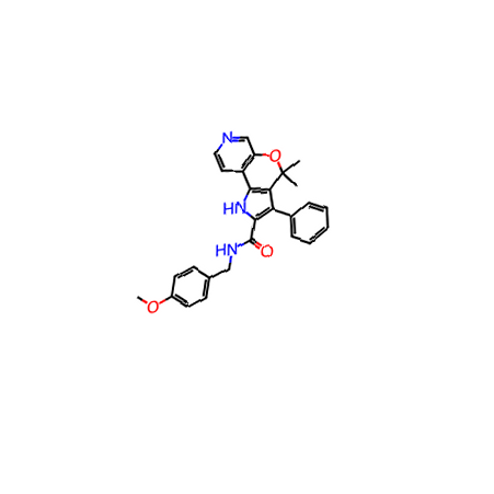 COc1ccc(CNC(=O)c2[nH]c3c(c2-c2ccccc2)C(C)(C)Oc2cnccc2-3)cc1